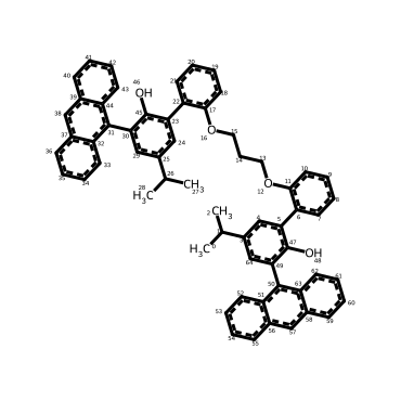 CC(C)c1cc(-c2ccccc2OCCCOc2ccccc2-c2cc(C(C)C)cc(-c3c4ccccc4cc4ccccc34)c2O)c(O)c(-c2c3ccccc3cc3ccccc23)c1